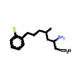 CC(CCCc1ccccc1F)CC(N)CC(=O)O